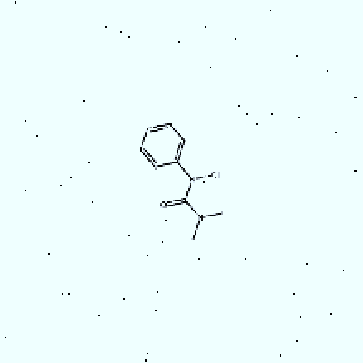 CN(C)C(=O)N(Cl)c1[c]cccc1